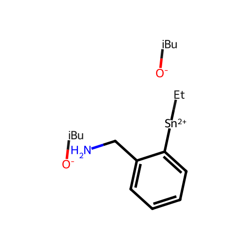 CCC(C)[O-].CCC(C)[O-].C[CH2][Sn+2][c]1ccccc1CN